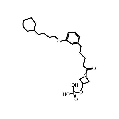 O=C(CCCCc1cccc(OCCCCC2CCCCC2)c1)N1CC(OP(=O)(O)O)C1